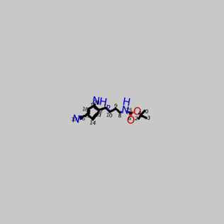 CC(C)(C)OC(=O)NCCCCc1ccc(C#N)cc1N